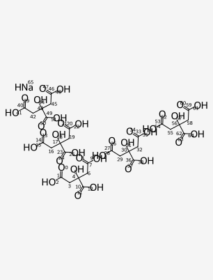 O=C(O)CC(O)(CC(=O)O)C(=O)O.O=C(O)CC(O)(CC(=O)O)C(=O)O.O=C(O)CC(O)(CC(=O)O)C(=O)O.O=C(O)CC(O)(CC(=O)O)C(=O)O.O=C(O)CC(O)(CC(=O)O)C(=O)O.[NaH]